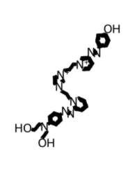 OCCN(CCO)c1ccc(/N=N/c2cccc[n+]2CCCn2cc[n+](CCC[n+]3cccc(/N=N/c4ccc(O)cc4)c3)c2)cc1